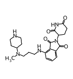 CN(CCCNc1cccc2c1C(=O)N(C1CCC(=O)NC1=O)C2=O)C1CCNCC1